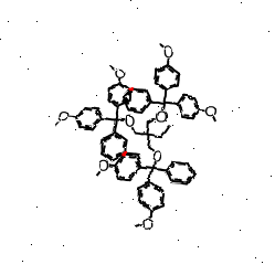 CCC(COC(c1ccccc1)(c1ccc(OC)cc1)c1ccc(OC)cc1)(COC(c1ccccc1)(c1ccc(OC)cc1)c1ccc(OC)cc1)COC(c1ccccc1)(c1ccc(OC)cc1)c1ccc(OC)cc1